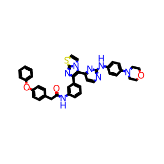 O=C(Cc1ccc(Oc2ccccc2)cc1)Nc1cccc(-c2nc3sccn3c2-c2ccnc(Nc3ccc(N4CCOCC4)cc3)n2)c1